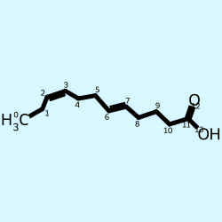 CC/C=C\CC/C=C/CCCC(=O)O